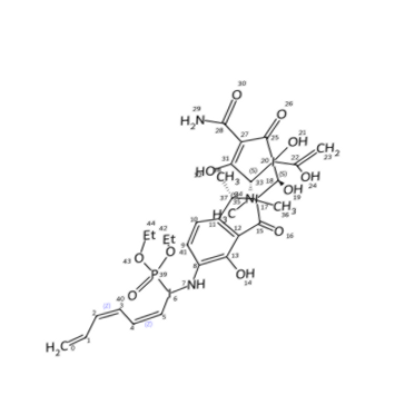 C=C/C=C\C=C/I(Nc1ccc2c(c1O)C(=O)I([C@H](O)I1(O)(C(=C)O)C(=O)C(C(N)=O)=C(O)[C@H]1N(C)C)[C@H]2C)P(=O)(OCC)OCC